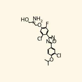 CC(C)Oc1ccc(-c2nc(-c3cc(F)c(OC[C@@H](N)CO)cc3Cl)no2)cc1Cl